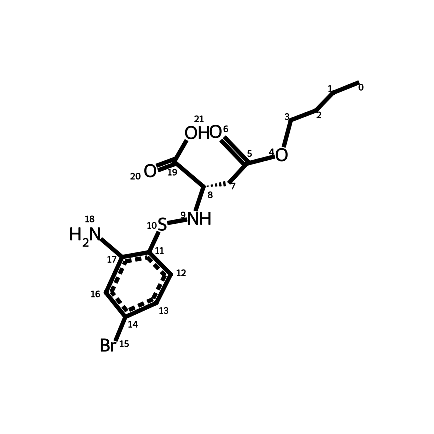 CCCCOC(=O)C[C@H](NSc1ccc(Br)cc1N)C(=O)O